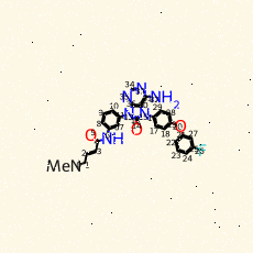 CNC/C=C/C(=O)Nc1cccc(-n2c(=O)n(-c3ccc(Oc4cccc(F)c4)cc3)c3c(N)ncnc32)c1